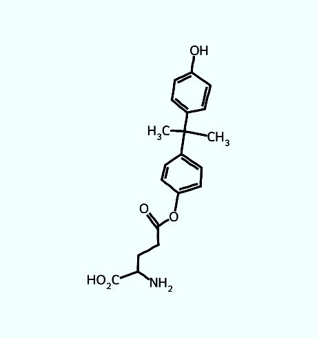 CC(C)(c1ccc(O)cc1)c1ccc(OC(=O)CCC(N)C(=O)O)cc1